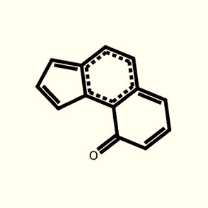 O=C1C=CC=c2ccc3c(c21)C=CC=3